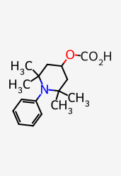 CC1(C)CC(OC(=O)O)CC(C)(C)N1c1ccccc1